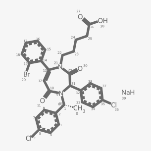 C[C@H](c1ccc(Cl)cc1)N1C(=O)C=C(c2ccccc2Br)N(CCCCC(=O)O)C(=O)C1c1ccc(Cl)cc1.[NaH]